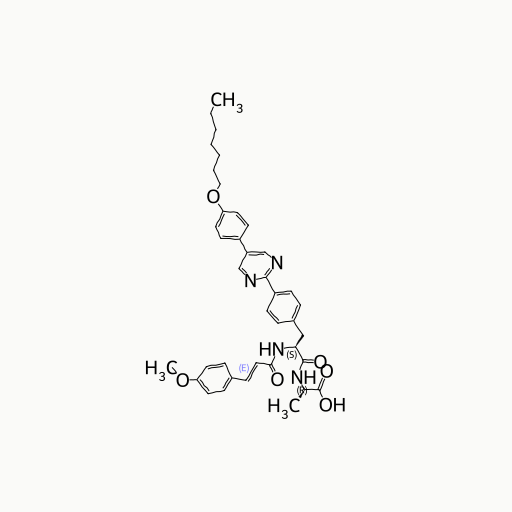 CCCCCCCOc1ccc(-c2cnc(-c3ccc(C[C@H](NC(=O)/C=C/c4ccc(OC)cc4)C(=O)N[C@H](C)C(=O)O)cc3)nc2)cc1